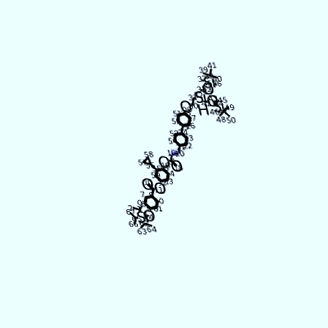 CC(C)[Si](Oc1ccc(C(=O)Oc2ccc(OC(=O)/C=C/c3ccc(-c4ccc(OCC[SiH](CO[Si](C)(C)C(C)(C)C)CO[Si](C)(C)C(C)(C)C)cc4)cc3)c(C3CC3)c2)cc1)(C(C)C)C(C)C